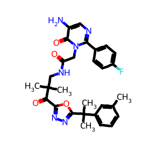 Cc1cccc(C(C)(C)c2nnc(C(=O)C(C)(C)CNC(=O)Cn3c(-c4ccc(F)cc4)ncc(N)c3=O)o2)c1